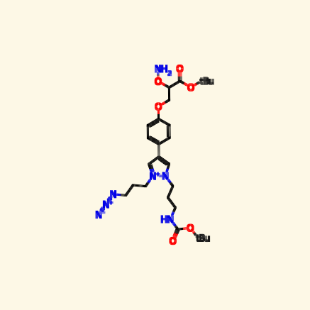 CC(C)(C)OC(=O)NCCCn1cc(-c2ccc(OCC(ON)C(=O)OC(C)(C)C)cc2)c[n+]1CCCN=[N+]=[N-]